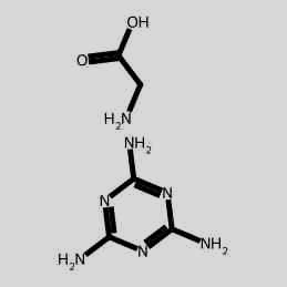 NCC(=O)O.Nc1nc(N)nc(N)n1